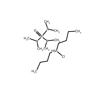 CCC[CH2][SnH]([Cl])[CH2]CCC.CN(C)P(=O)(N(C)C)N(C)C